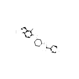 Cc1c(O[C@@H]2CCC[C@H](NC(=O)c3ccncc3)C2)ccc2[nH]ncc12